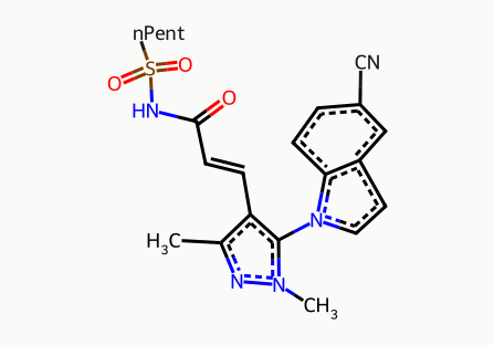 CCCCCS(=O)(=O)NC(=O)C=Cc1c(C)nn(C)c1-n1ccc2cc(C#N)ccc21